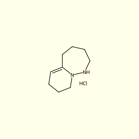 C1=C2CCCCNN2CCC1.Cl